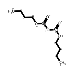 CCCC[O][Sn](=[O])[O][Sn](=[O])[O]CCCC